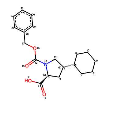 O=C(O)[C@@H]1C[C@@H](C2CCCCC2)CN1C(=O)OCc1ccccc1